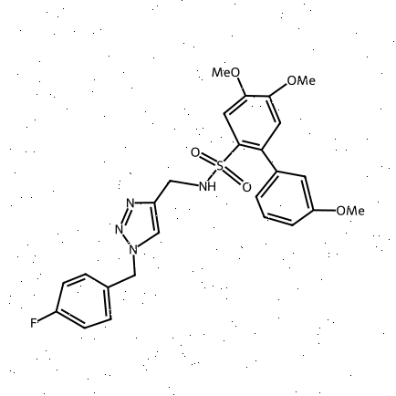 COc1cccc(-c2cc(OC)c(OC)cc2S(=O)(=O)NCc2cn(Cc3ccc(F)cc3)nn2)c1